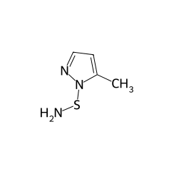 Cc1ccnn1SN